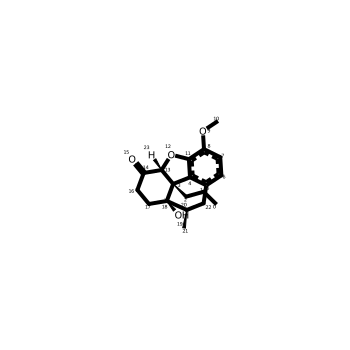 CCC[C@]12c3c4ccc(OC)c3O[C@H]1C(=O)CC[C@@]2(O)[C@H](C)C4